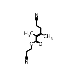 CC(CCC#N)=C(C)C(=O)OCCC#N